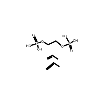 C=CC.C=CC.O=P(O)(O)OCCOP(=O)(O)O